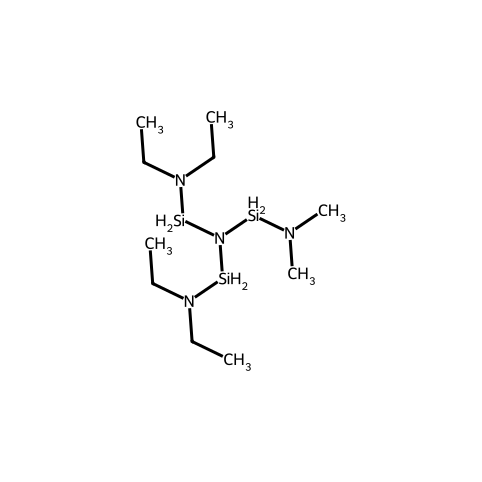 CCN(CC)[SiH2]N([SiH2]N(C)C)[SiH2]N(CC)CC